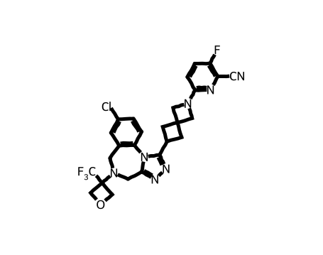 N#Cc1nc(N2CC3(CC(c4nnc5n4-c4ccc(Cl)cc4CN(C4(C(F)(F)F)COC4)C5)C3)C2)ccc1F